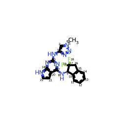 Cn1cc(Nc2nc(N[C@@H]3c4ccccc4CC3(F)F)c3cc[nH]c3n2)nn1